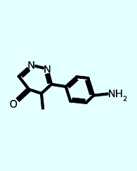 CC1C(=O)C=NN=C1c1ccc(N)cc1